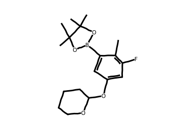 Cc1c(F)cc(OC2CCCCO2)cc1B1OC(C)(C)C(C)(C)O1